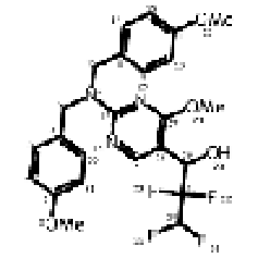 COc1ccc(CN(Cc2ccc(OC)cc2)c2ncc(C(O)C(F)(F)C(F)F)c(OC)n2)cc1